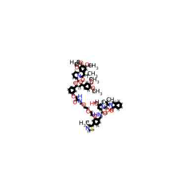 CC[C@H](C(=O)N1CCCC[C@H]1C(=O)O[C@H](CCc1ccc(OC)c(OC)c1)c1cccc(OCC(=O)NCOCCOCCOc2cc(-c3scnc3C)ccc2CNC(=O)[C@@H]2C[C@@H](O)CN2C(O)[C@H](C(C)C)N2Cc3ccccc3C2=O)c1)c1cc(OC)c(OC)c(OC)c1